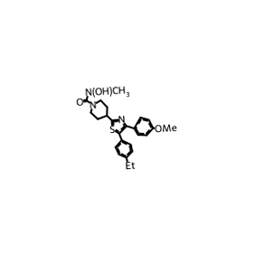 CCc1ccc(-c2sc(C3CCN(C(=O)N(C)O)CC3)nc2-c2ccc(OC)cc2)cc1